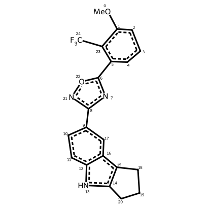 COc1cccc(-c2nc(-c3ccc4[nH]c5c(c4c3)CC[CH]5)no2)c1C(F)(F)F